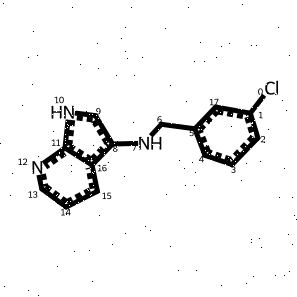 Clc1cccc(CNc2c[nH]c3ncccc23)c1